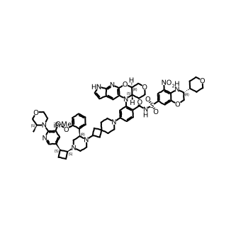 COc1cc([C@@H]2CC[C@@H]2N2CCN(C3CC4(CCN(c5ccc(C(=O)NS(=O)(=O)c6cc7c(c([N+](=O)[O-])c6)N[C@H](C6CCOCC6)CO7)c(N6c7cc8cc[nH]c8nc7O[C@H]7COCC[C@@H]76)c5)CC4)C3)[C@H](c3ccccc3OC(C)C)C2)cnc1N1CCOC[C@@H]1C